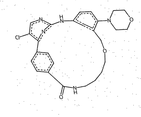 O=C1NCCCCOCc2cc(ccc2N2CCOCC2)Nc2ncc(Cl)c(n2)-c2ccc1cc2